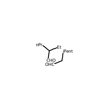 CCCC(C)CC=O.CCCC(C=O)CC